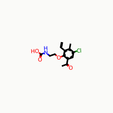 C=Cc1c(C)c(Cl)cc(C(C)=O)c1OCCNC(=O)O